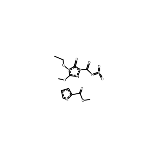 CCOn1c(OC)nn(C(=O)N=S(=O)=O)c1=O.COC(=O)c1cccs1